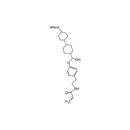 C=CC(=O)NCCc1ccc(OC(O)C2CCC(C3CCC(CCCCC)CC3)CC2)cc1